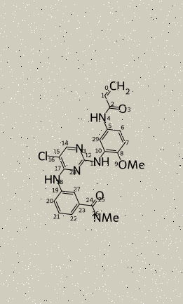 C=CC(=O)Nc1ccc(OC)c(Nc2ncc(Cl)c(Nc3cccc(C(=O)NC)c3)n2)c1